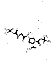 CN(C(=O)CNC(=O)OC(C)(C)C)[C@@H]1C[C@@H](C(=O)O)N(C(=O)OC(C)(C)C)C1